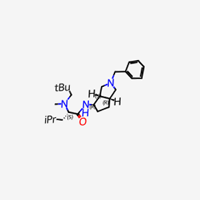 CC(C)C[C@@H](C(=O)N[C@@H]1CC[C@H]2CN(Cc3ccccc3)C[C@H]21)N(C)CC(C)(C)C